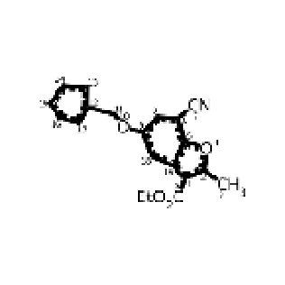 CCOC(=O)c1c(C)oc2c(C#N)cc(OCc3ccccc3)cc12